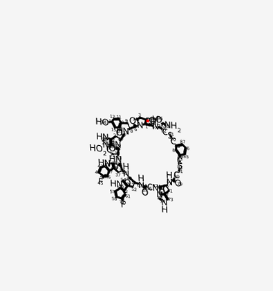 C[C@@]12CCCN1C(=O)[C@H](Cc1ccc(O)cc1)NC(=O)[C@H](Cc1cnc[nH]1)NC(=O)[C@H](CC(=O)O)NC(=O)[C@H](Cc1c[nH]c3ccc(F)cc13)NC(=O)[C@H](Cc1c[nH]c3ccc(F)cc13)NC(=O)CNC(=O)[C@H](Cc1c[nH]cn1)NC(=O)CCSCc1cccc(c1)CSC[C@@H](C(N)=O)NC2=O